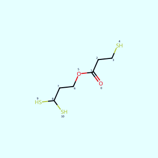 O=C(CCS)OCCC(S)S